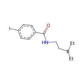 CCB(CC)CCNC(=O)c1ccc(I)cc1